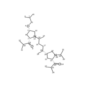 CC(C)CO[C@H]1C[C@@H](C(=O)C(C)C)N(C(C)CCC(C)[C@H]2C[C@@H](C(=O)C(C)C)N(C(C)C)C2)C1